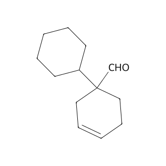 O=CC1(C2CCCCC2)CC=CCC1